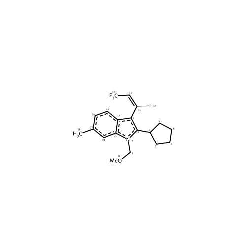 COCn1c(C2CCCC2)c(/C(I)=C\C(F)(F)F)c2ccc(C)cc21